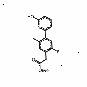 COC(=O)Cc1cc(C)c(-c2cccc(O)n2)cc1F